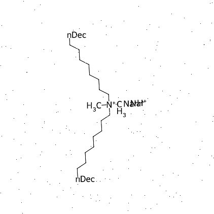 CCCCCCCCCCCCCCCCCC[N+](C)(C)CCCCCCCCCCCCCCCCCC.[H+].[Na+].[Na+]